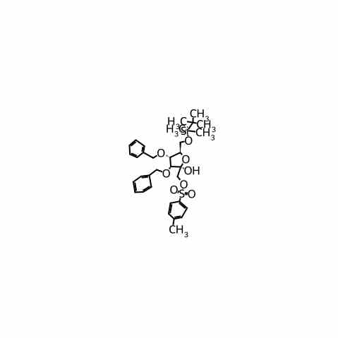 Cc1ccc(S(=O)(=O)OC[C@]2(O)O[C@H](CO[Si](C)(C)C(C)(C)C)[C@@H](OCc3ccccc3)[C@@H]2OCc2ccccc2)cc1